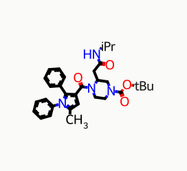 Cc1cc(C(=O)N2CCN(C(=O)OC(C)(C)C)CC2CC(=O)NC(C)C)c(-c2ccccc2)n1-c1ccccc1